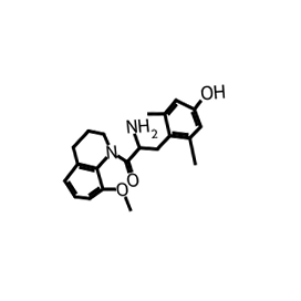 COc1cccc2c1N(C(=O)C(N)Cc1c(C)cc(O)cc1C)CCC2